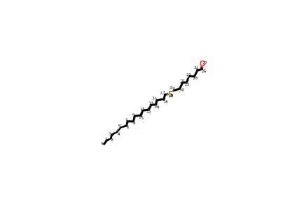 CCCCCCCCCCCCCCCCCCSCCCCCCC[C]=O